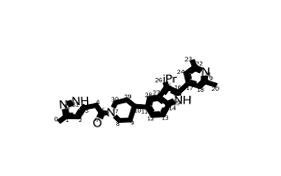 Cc1cc(CC(=O)N2CCC(c3ccc4[nH]c(-c5cc(C)nc(C)c5)c(C(C)C)c4c3)CC2)[nH]n1